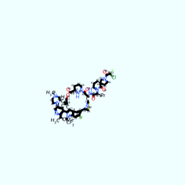 CO[C@@H](C)c1ncc(N2CCN(C)CC2)cc1-c1c2c3cc(c(F)cc3n1CC(F)(F)F)-c1csc(n1)C[C@H](NC(=O)[C@H](C(C)C)N1CCC[C@@]3(CCN(C(=O)[C@H](F)Cl)C3)C1=O)C(=O)N1CCC[C@H](N1)C(=O)OCC(C)(C)C2